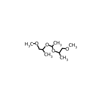 COCC(C)OC(C)OC(C)COC